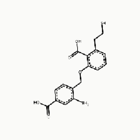 Bc1cc(C(=O)O)ccc1COc1cccc(CCS)c1C(=O)O